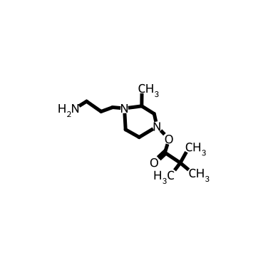 CC1CN(OC(=O)C(C)(C)C)CCN1CCCN